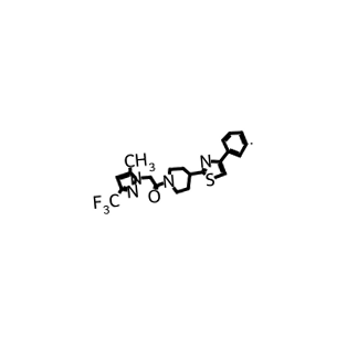 Cc1cc(C(F)(F)F)nn1CC(=O)N1CCC(c2nc(-c3c[c]ccc3)cs2)CC1